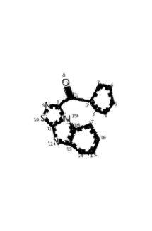 O=C(c1ccccc1)c1nsc2nc3ccccc3n12